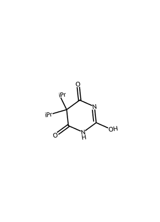 CC(C)C1(C(C)C)C(=O)N=C(O)NC1=O